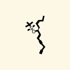 C#CCC#C/C=C/[C@H](C/C=C\CC)O[Si](C)(C)C(C)(C)C